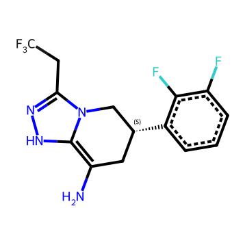 NC1=C2NN=C(CC(F)(F)F)N2C[C@H](c2cccc(F)c2F)C1